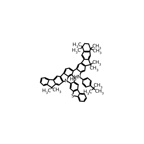 CC(C)(C)c1ccc(Nc2cc3c(cc2-c2ccc4c5cc6c(cc5n5c4c2Bc2cc4c(cc2-5)sc2ccccc24)C(C)(C)c2ccccc2-6)-c2cc4c(cc2C3(C)C)C(C)(C)CCC4(C)C)cc1